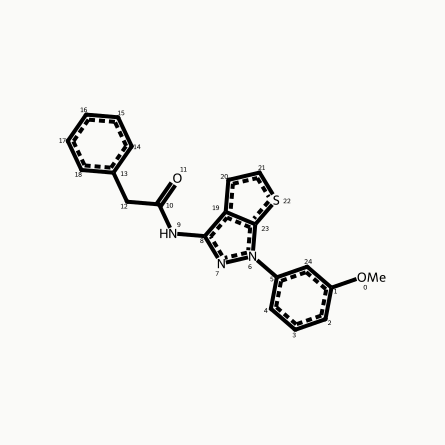 COc1cccc(-n2nc(NC(=O)Cc3ccccc3)c3ccsc32)c1